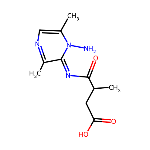 Cc1ncc(C)n(N)/c1=N\C(=O)C(C)CC(=O)O